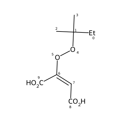 CCC(C)(C)OOC(=CC(=O)O)C(=O)O